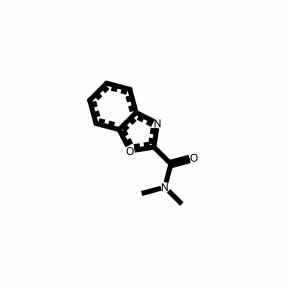 CN(C)C(=O)c1nc2ccccc2o1